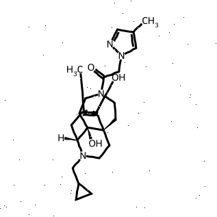 Cc1cnn(CC(=O)N2CC[C@]34CCN(CC5CC5)[C@H](Cc5cc(C)c(O)cc53)[C@]4(O)CC2)c1